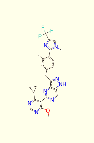 COc1ncnc(C2CC2)c1-c1ncc2[nH]nc(Cc3ccc(-c4nc(C(F)(F)F)cn4C)c(C)c3)c2n1